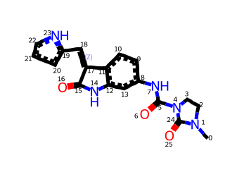 CN1CCN(C(=O)Nc2ccc3c(c2)NC(=O)/C3=C\c2ccc[nH]2)C1=O